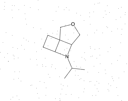 CC(C)N1C2CCC23COCC13